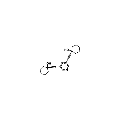 OC1(C#Cc2cncc(C#CC3(O)CCCCC3)n2)CCCCC1